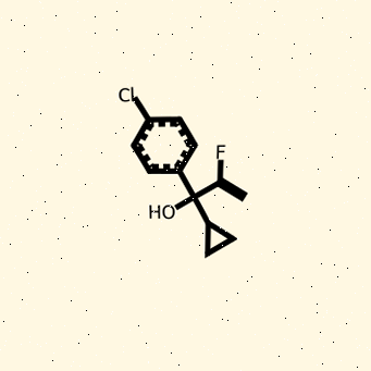 C=C(F)C(O)(c1ccc(Cl)cc1)C1CC1